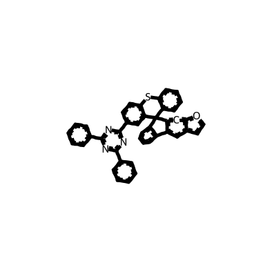 c1ccc(-c2nc(-c3ccccc3)nc(-c3ccc4c(c3)C3(c5ccccc5S4)c4ccccc4-c4cc5ccoc5cc43)n2)cc1